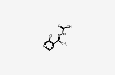 CC(=NNC(=O)O)c1ccncc1Cl